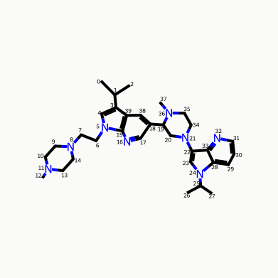 CC(C)c1cn(CCN2CCN(C)CC2)c2ncc(C3CN(c4cn(C(C)C)c5cccnc45)CCN3C)cc12